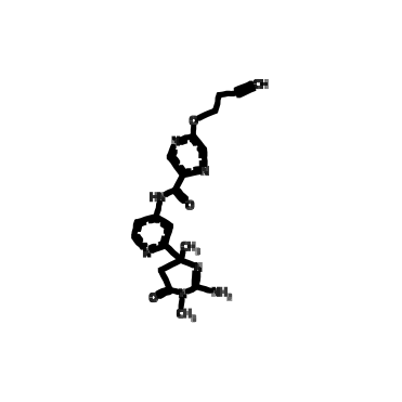 C#CCCOc1cnc(C(=O)Nc2ccnc(C3(C)CC(=O)N(C)C(N)=N3)c2)cn1